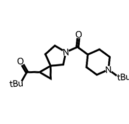 CC(C)(C)C(=O)C1CC12CCN(C(=O)C1CCN(C(C)(C)C)CC1)C2